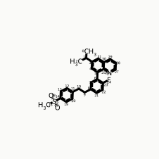 CC(C)c1cc(-c2cc(CCc3ccc(S(C)(=O)=O)cc3)ccc2F)c2ncccc2c1